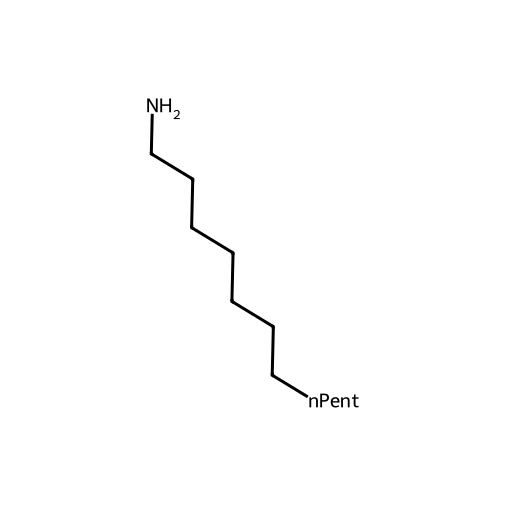 CC[CH]CCCCCCCCCN